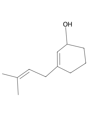 CC(C)=CCC1=CC(O)CCC1